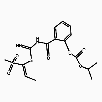 C/C=C(\SC(=N)NC(=O)c1ccccc1OC(=O)OC(C)C)S(C)(=O)=O